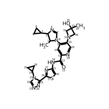 CC1C(C2CC2)N=CN1c1cc(C(=O)Nc2csc(-c3nncn3C3CC3)n2)ncc1N1CC(C)(O)C1